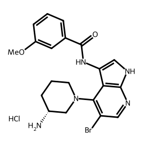 COc1cccc(C(=O)Nc2c[nH]c3ncc(Br)c(N4CCC[C@@H](N)C4)c23)c1.Cl